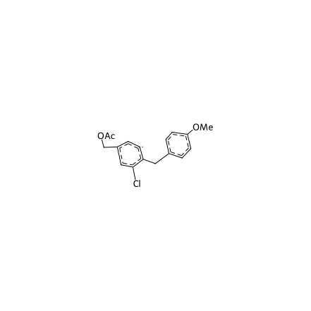 COc1ccc(Cc2[c]cc(COC(C)=O)cc2Cl)cc1